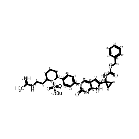 CC(=N)NCCC1CCC[C@@H](c2ccc(-n3cc4cc(C5(NC(=O)OCc6ccccc6)CC5)[nH]c4nc3=O)cc2)N1S(=O)(=O)C(C)(C)C